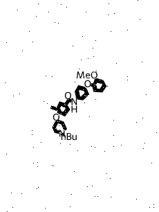 CCCCN1CCC(Oc2ccc(C(=O)Nc3ccc(Oc4cc[c]cc4OC)cc3)cc2C)CC1